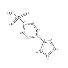 CS(=O)(=O)c1ccc(-c2ccon2)cc1